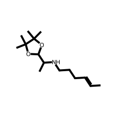 CC=CCCCNC(C)C1OC(C)(C)C(C)(C)O1